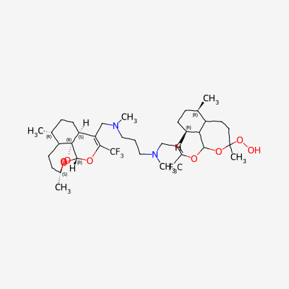 C[C@@H]1CC[C@H]2C(CN(C)CCCN(C)CC3=C(C(F)(F)F)O[C@@H]4O[C@]5(C)CCC6[C@H](C)CC[C@@H]3[C@]64OO5)=C(C(F)(F)F)OC3OC(C)(OO)CCC1C32